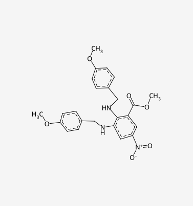 COC(=O)c1cc([N+](=O)[O-])cc(NCc2ccc(OC)cc2)c1NCc1ccc(OC)cc1